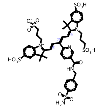 CC1(C)C(/C=C/C(=C/C=C2/N(CCCS(=O)(=O)O)c3ccc(S(=O)(=O)O)cc3C2(C)C)c2ccc(C(=O)NCc3ccc(S(N)(=O)=O)cc3)cn2)=[N+](CCCS(=O)(=O)[O-])c2ccc(S(=O)(=O)O)cc21